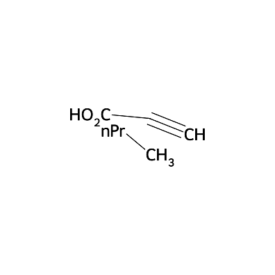 C#CC(=O)O.CCCC